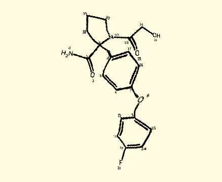 NC(=O)C1(c2ccc(Oc3ccc(F)cc3)cc2)CCCN1C(=O)CO